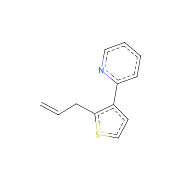 C=CCc1sccc1-c1ccccn1